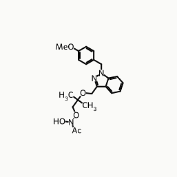 COc1ccc(Cn2nc(COC(C)(C)CON(O)C(C)=O)c3ccccc32)cc1